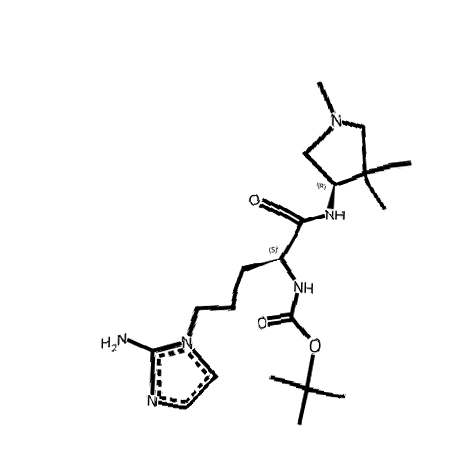 CN1C[C@H](NC(=O)[C@H](CCCn2ccnc2N)NC(=O)OC(C)(C)C)C(C)(C)C1